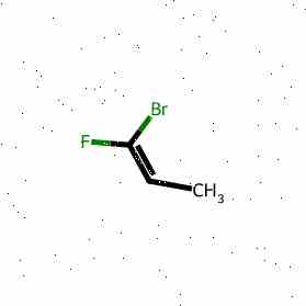 CC=C(F)Br